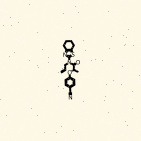 C=CCN(C(=O)C(C)Oc1ccc(C#N)cc1)c1nc2c(s1)CCCC2